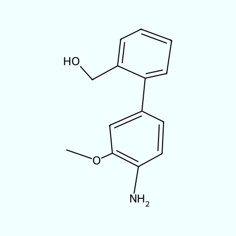 COc1cc(-c2ccccc2CO)ccc1N